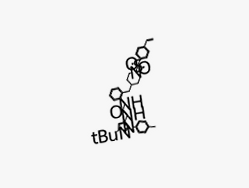 C=Cc1ccc(S(=O)(=O)N2CCC(Cc3ccccc3NC(=O)Nc3cc(C(C)(C)C)nn3-c3ccc(C)cc3)CC2)cc1